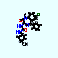 CN1C(=O)C(NC(=O)Nc2ccc(C#N)cc2)N=C(c2ccccc2)c2cc(Cl)ccc21